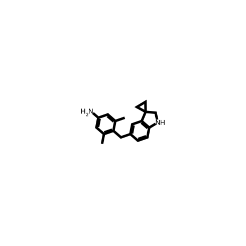 Cc1cc(N)cc(C)c1Cc1ccc2c(c1)C1(CC1)CN2